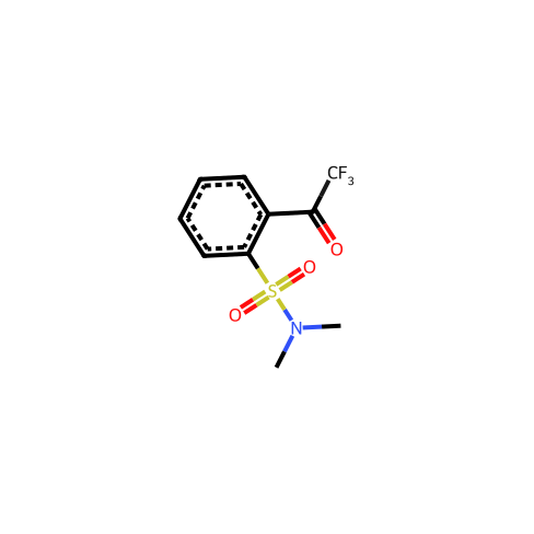 CN(C)S(=O)(=O)c1ccccc1C(=O)C(F)(F)F